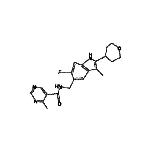 Cc1ncncc1C(=O)NCc1cc2c(C)c(C3CCOCC3)[nH]c2cc1F